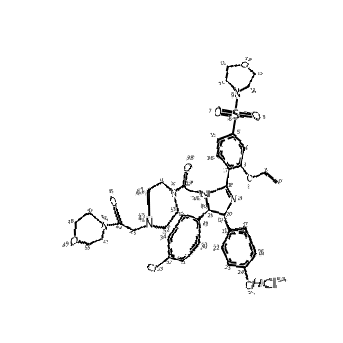 CCOc1cc(S(=O)(=O)N2CCOCC2)ccc1C1=N[C@@H](c2ccc(Cl)cc2)[C@@H](c2ccc(Cl)cc2)N1C(=O)N1CCN(CC(=O)N2CCOCC2)CC1.Cl